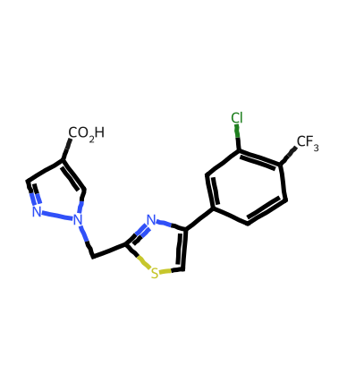 O=C(O)c1cnn(Cc2nc(-c3ccc(C(F)(F)F)c(Cl)c3)cs2)c1